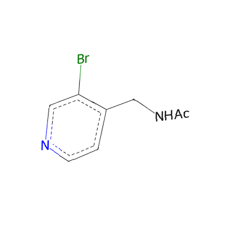 CC(=O)NCc1ccncc1Br